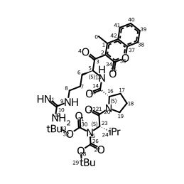 Cc1c(C(=O)[C@H](CCCNC(=N)N)NC(=O)[C@@H]2CCCN2C(=O)[C@H](C(C)C)N(C(=O)OC(C)(C)C)C(=O)OC(C)(C)C)c(=O)oc2ccccc12